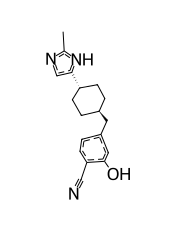 Cc1ncc([C@H]2CC[C@H](Cc3ccc(C#N)c(O)c3)CC2)[nH]1